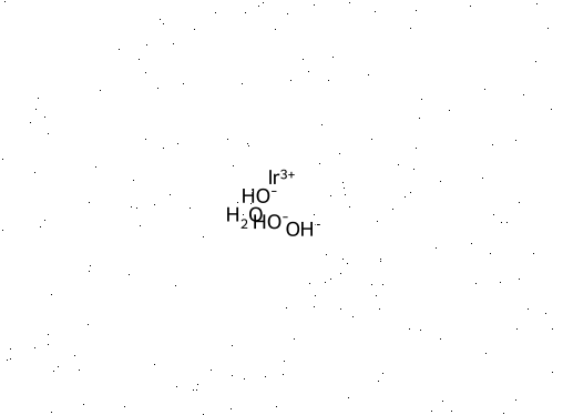 O.[Ir+3].[OH-].[OH-].[OH-]